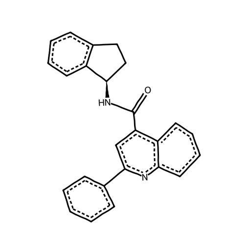 O=C(N[C@@H]1CCc2ccccc21)c1cc(-c2ccccc2)nc2ccccc12